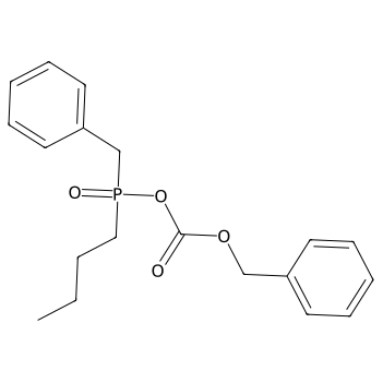 CCCCP(=O)(Cc1ccccc1)OC(=O)OCc1ccccc1